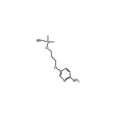 CC(C)(C)[Si](C)(C)OCCCOc1ccc(N)nc1